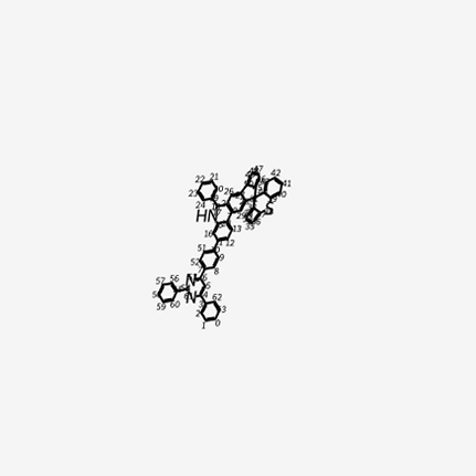 c1ccc(-c2cc(-c3ccc(-c4ccc5c(c4)NC(c4ccccc4)c4cc6c(cc4-5)C4(c5ccccc5Sc5ccccc54)c4ccccc4-6)cc3)nc(-c3ccccc3)n2)cc1